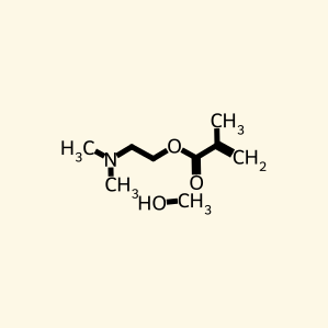 C=C(C)C(=O)OCCN(C)C.CO